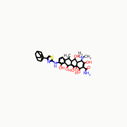 CC1c2ccc(Nc3nc(C4C5CC6CC(C5)CC4C6)cs3)c(O)c2C(=O)C2=C(O)C3(O)C(=O)C(C(N)=O)=C(O)C(N(C)C)C3C(O)C21